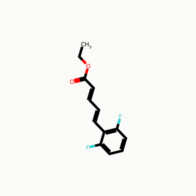 CCOC(=O)/C=C/C=C/c1c(F)cccc1F